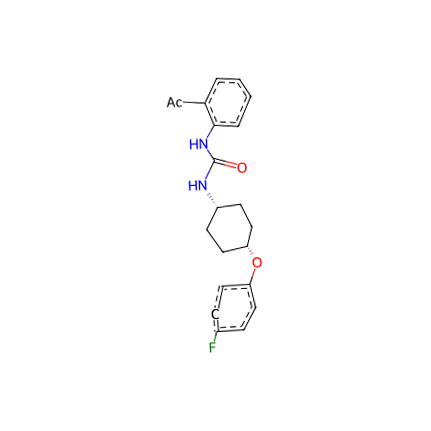 CC(=O)c1ccccc1NC(=O)N[C@H]1CC[C@@H](Oc2ccc(F)cc2)CC1